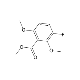 COC(=O)c1c(OC)ccc(F)c1OC